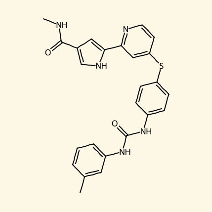 CNC(=O)c1c[nH]c(-c2cc(Sc3ccc(NC(=O)Nc4cccc(C)c4)cc3)ccn2)c1